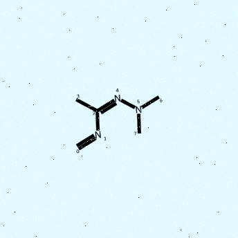 C=N/C(C)=N\N(C)C